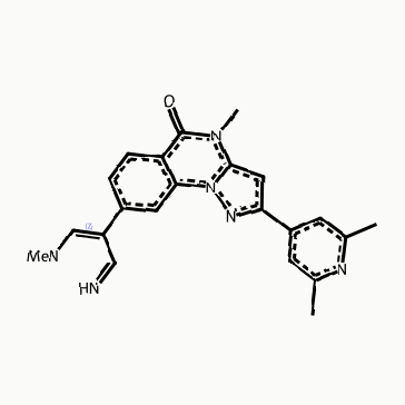 CN/C=C(\C=N)c1ccc2c(=O)n(C)c3cc(-c4cc(C)nc(C)c4)nn3c2c1